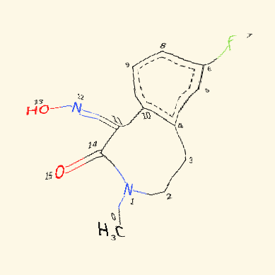 CN1CCc2cc(F)ccc2/C(=N/O)C1=O